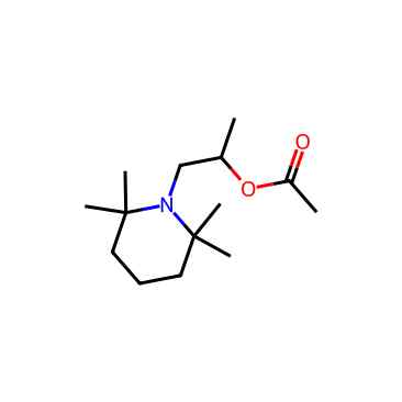 CC(=O)OC(C)CN1C(C)(C)CCCC1(C)C